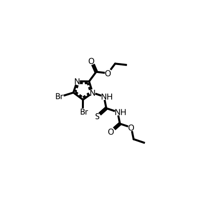 CCOC(=O)NC(=S)Nn1c(C(=O)OCC)nc(Br)c1Br